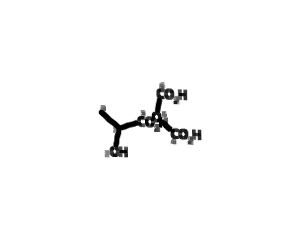 CC(O)C(=O)O.O=C(O)OC(=O)O